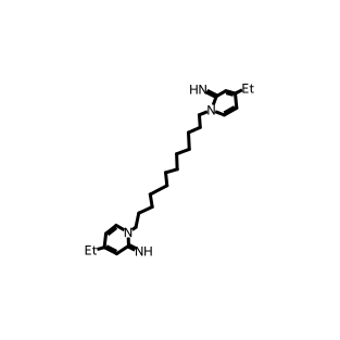 CCc1ccn(CCCCCCCCCCCCn2ccc(CC)cc2=N)c(=N)c1